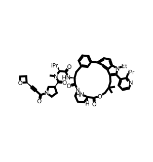 CCn1c(-c2cccnc2C(C)C)c2c3cc(ccc31)-c1cccc(c1)C[C@H](NC(=O)[C@H](C(C)C)N(C)C(=O)[C@H]1CCN(C(=O)C#C[C@@H]3CCO3)C1)C(=O)N1CCC[C@H](N1)C(=O)OCC(C)(C)C2